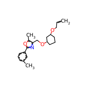 C=CCO[C@H]1CCC[C@@H](OCc2nc(-c3cccc(C)c3)oc2C)C1